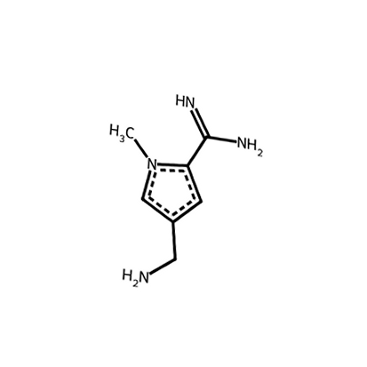 Cn1cc(CN)cc1C(=N)N